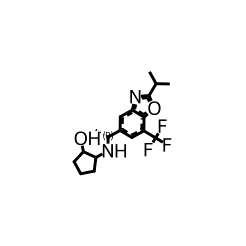 CC(C)c1nc2cc([C@@H](C)NC3CCCC3O)cc(C(F)(F)F)c2o1